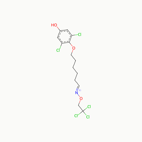 Oc1cc(Cl)c(OCCCCC/C=N/OCC(Cl)(Cl)Cl)c(Cl)c1